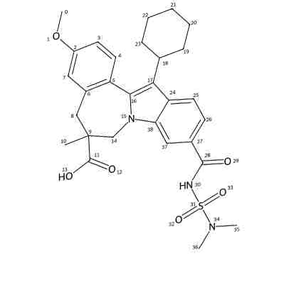 COc1ccc2c(c1)CC(C)(C(=O)O)Cn1c-2c(C2CCCCC2)c2ccc(C(=O)NS(=O)(=O)N(C)C)cc21